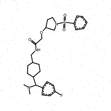 CN(C)C(c1ccc(F)cc1)C1CCC(CNC(=O)COC2CCN(S(=O)(=O)c3ccccc3)C2)CC1